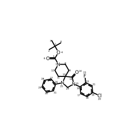 CC(C)(C)OC(=O)N1CCC2(CC1)C(=O)N(c1ccc(Cl)cc1F)CN2c1ccccc1